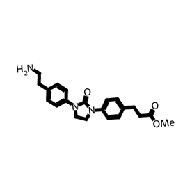 COC(=O)CCc1ccc(N2CCN(c3ccc(CCN)cc3)C2=O)cc1